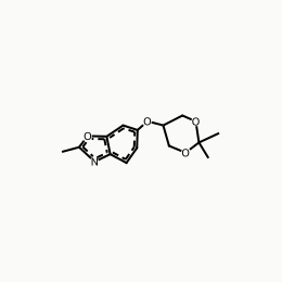 Cc1nc2ccc(OC3COC(C)(C)OC3)cc2o1